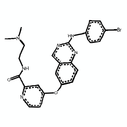 CN(C)CCNC(=O)c1cc(Oc2ccc3nc(Nc4ccc(Br)cc4)ncc3c2)ccn1